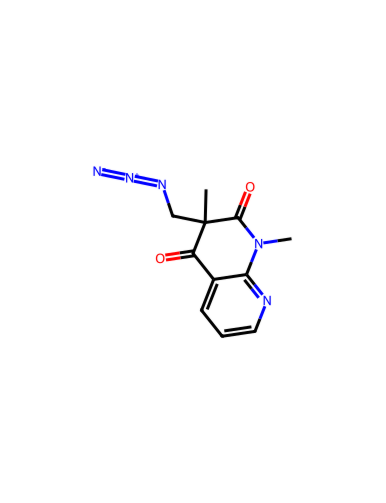 CN1C(=O)C(C)(CN=[N+]=[N-])C(=O)c2cccnc21